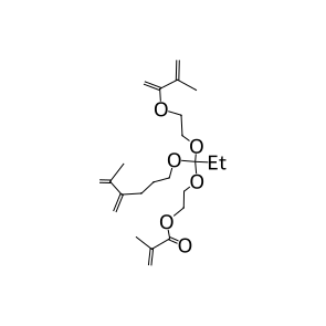 C=C(C)C(=C)CCCOC(CC)(OCCOC(=C)C(=C)C)OCCOC(=O)C(=C)C